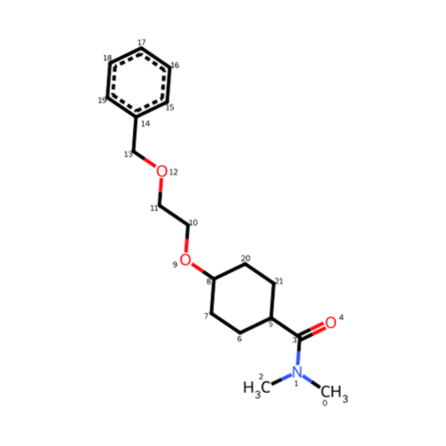 CN(C)C(=O)C1CCC(OCCOCc2ccccc2)CC1